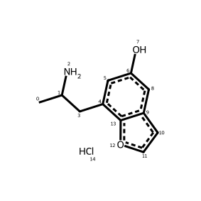 CC(N)Cc1cc(O)cc2ccoc12.Cl